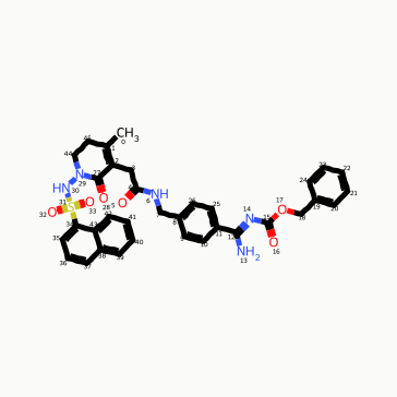 CC1=C(CC(=O)NCc2ccc(/C(N)=N/C(=O)OCc3ccccc3)cc2)C(=O)N(NS(=O)(=O)c2cccc3ccccc23)CC1